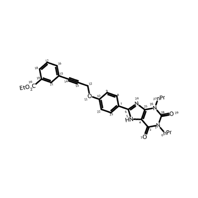 CCCn1c(=O)c2[nH]c(-c3ccc(OCC#Cc4cccc(C(=O)OCC)c4)cc3)nc2n(CCC)c1=O